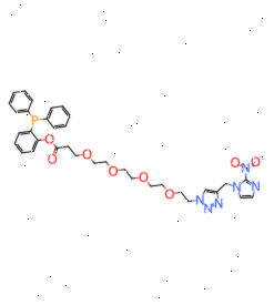 O=C(CCOCCOCCOCCOCCn1cc(Cn2ccnc2[N+](=O)[O-])nn1)Oc1ccccc1P(c1ccccc1)c1ccccc1